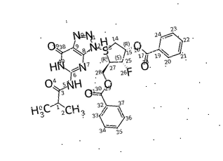 CC(C)C(=O)Nc1nc2c(nnn2[SH]2C[C@H](OC(=O)c3ccccc3)[C@H](F)[C@H]2COC(=O)c2ccccc2)c(=O)[nH]1